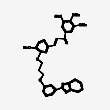 COc1ccc(/C=C/C(=O)c2cc(OC)c(OC)c(OC)c2)cc1OCCCOc1cccc(-c2nc3ccccc3s2)c1